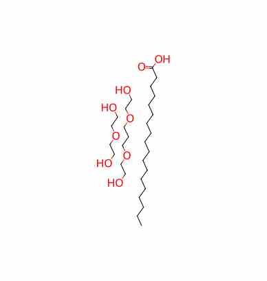 CCCCCCCCCCCCCCCCCC(=O)O.OCCOCCCOCCO.OCCOCCO